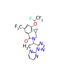 CC(c1ncnn1-c1ncccn1)N(CC1CC1)C(=O)c1cc(OC(F)C(F)(F)F)cc(C(F)(F)F)c1